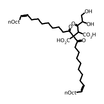 CCCCCCCC/C=C\CCCCCCCC(=O)C(C(=O)O)(C(=O)CCCCCCC/C=C\CCCCCCCC)C(C(=O)O)C(=O)C(O)CO